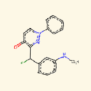 O=C(O)Nc1cccc(C(F)c2nn(-c3ccccc3)ccc2=O)c1